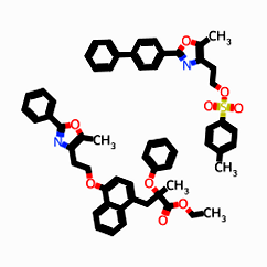 CCOC(=O)C(C)(Cc1ccc(OCCc2nc(-c3ccccc3)oc2C)c2ccccc12)Oc1ccccc1.Cc1ccc(S(=O)(=O)OCCc2nc(-c3ccc(-c4ccccc4)cc3)oc2C)cc1